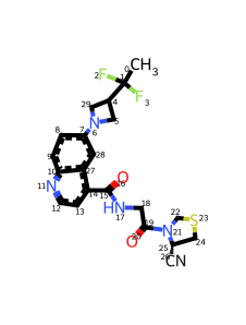 CC(F)(F)C1CN(c2ccc3nccc(C(=O)NCC(=O)N4CSC[C@H]4C#N)c3c2)C1